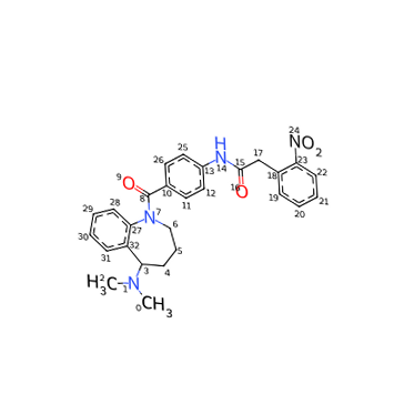 CN(C)C1CCCN(C(=O)c2ccc(NC(=O)Cc3ccccc3[N+](=O)[O-])cc2)c2ccccc21